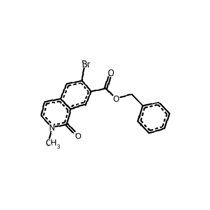 Cn1ccc2cc(Br)c(C(=O)OCc3ccccc3)cc2c1=O